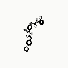 O=C(Cc1ccc(N2CCCC2)cc1)Nc1n[nH]c2c1CN(NC(=O)Nc1ccccc1Cl)C2